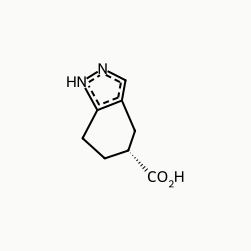 O=C(O)[C@@H]1CCc2[nH]ncc2C1